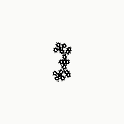 c1ccc(-c2c(-c3ccccc3)n(-c3ccccc3)c3cc(N(c4ccc(-c5c6ccccc6c(-c6ccc(N(c7ccc8ccccc8c7)c7ccc8c(-c9ccccc9)c(-c9ccccc9)n(-c9ccccc9)c8c7)cc6)c6ccccc56)cc4)c4ccc5ccccc5c4)ccc23)cc1